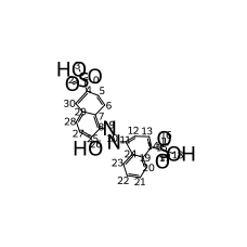 O=S(=O)(O)c1ccc2c(N=Nc3ccc(S(=O)(=O)O)c4ccccc34)c(O)ccc2c1